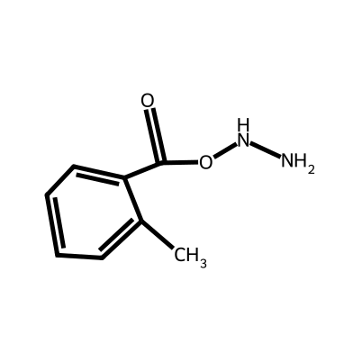 Cc1ccccc1C(=O)ONN